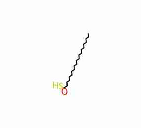 CCCCCCCCCCCCCCCCCCC=CC(=O)S